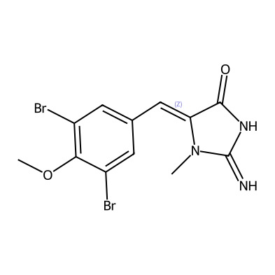 COc1c(Br)cc(/C=C2/C(=O)NC(=N)N2C)cc1Br